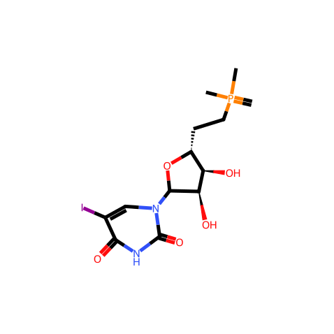 C=P(C)(C)CC[C@H]1OC(n2cc(I)c(=O)[nH]c2=O)[C@H](O)[C@@H]1O